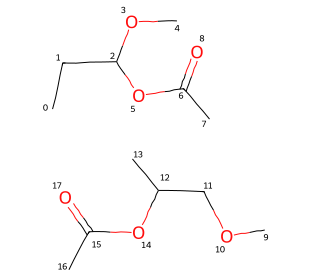 CCC(OC)OC(C)=O.COCC(C)OC(C)=O